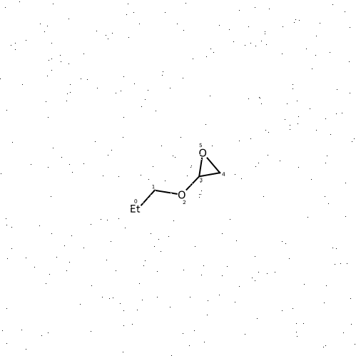 CCCOC1CO1